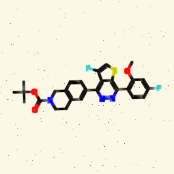 COc1cc(F)ccc1-c1nnc(-c2ccc3c(c2)CCN(C(=O)OC(C)(C)C)C3)c2c(F)csc12